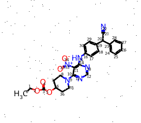 CCOC(=O)OC1CCN(c2ncnc(Nc3ccc(C(C#N)c4ccccc4)cc3)c2[N+](=O)[O-])CC1